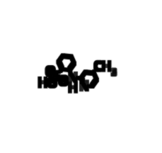 Cc1ccnc(Nc2ccccc2S(=O)(=O)O)c1